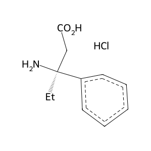 CC[C@](N)(CC(=O)O)c1ccccc1.Cl